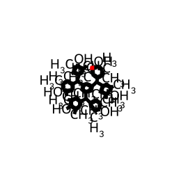 Cc1cc(C(c2cc(C(c3cc(C)c(O)c(C)c3C)c3cc(C)c(O)c(C)c3C)cc(C(c3cc(C)c(O)c(C)c3C)c3cc(C)c(O)c(C)c3C)c2)c2cc(C)c(O)c(C)c2C)c(C)c(C)c1O